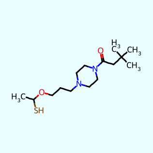 CC(S)OCCCN1CCN(C(=O)CC(C)(C)C)CC1